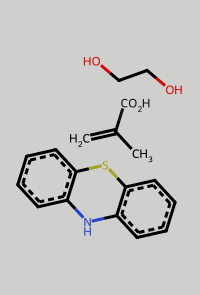 C=C(C)C(=O)O.OCCO.c1ccc2c(c1)Nc1ccccc1S2